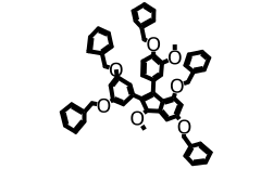 COc1cc(C2=C(c3cc(OCc4ccccc4)cc(OCc4ccccc4)c3)C(OC)c3cc(OCc4ccccc4)cc(OCc4ccccc4)c32)ccc1OCc1ccccc1